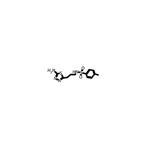 Cc1ccc(S(=O)(=O)NCCCc2nnc(N)s2)cc1